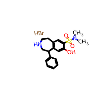 Br.CN(C)S(=O)(=O)c1cc2c(cc1O)C(c1ccccc1)CNCC2